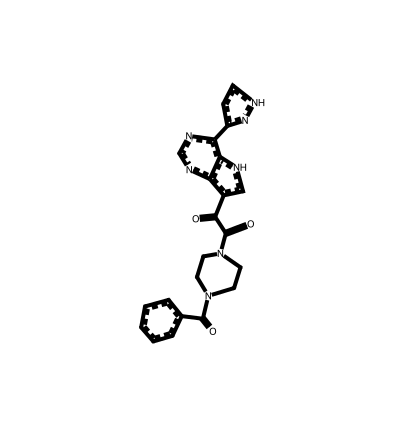 O=C(C(=O)N1CCN(C(=O)c2ccccc2)CC1)c1c[nH]c2c(-c3cc[nH]n3)ncnc12